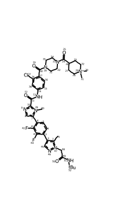 Cc1c(-c2ccc(-c3cnc(C(=O)Nc4ccc(C(=O)N5CCN(C(=O)C6CC[N+](C)(C)CC6)CC5)c(Cl)c4)n3C)c(F)c2F)cnn1CC(=O)NC(C)(C)C